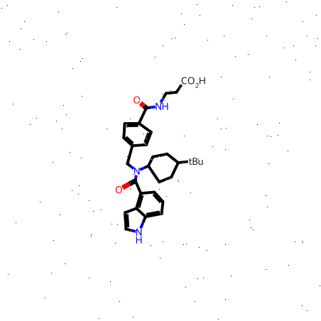 CC(C)(C)C1CCC(N(Cc2ccc(C(=O)NCCC(=O)O)cc2)C(=O)c2cccc3[nH]ccc23)CC1